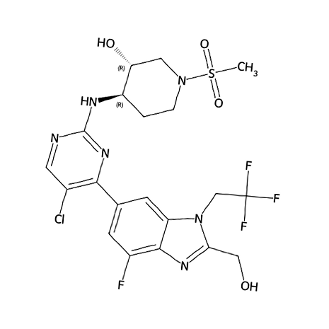 CS(=O)(=O)N1CC[C@@H](Nc2ncc(Cl)c(-c3cc(F)c4nc(CO)n(CC(F)(F)F)c4c3)n2)[C@H](O)C1